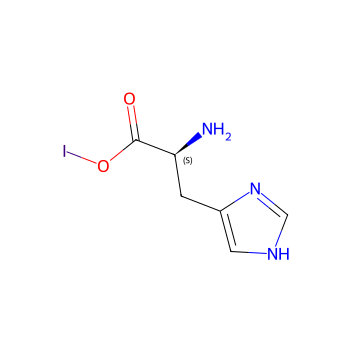 N[C@@H](Cc1c[nH]cn1)C(=O)OI